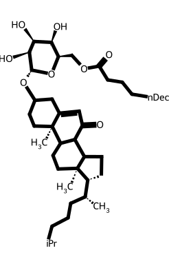 CCCCCCCCCCCCCC(=O)OC[C@H]1O[C@H](OC2CC[C@@]3(C)C(=CC(=O)C4C3CC[C@@]3(C)C4CC[C@@H]3[C@H](C)CCCC(C)C)C2)[C@@H](O)[C@@H](O)[C@H]1O